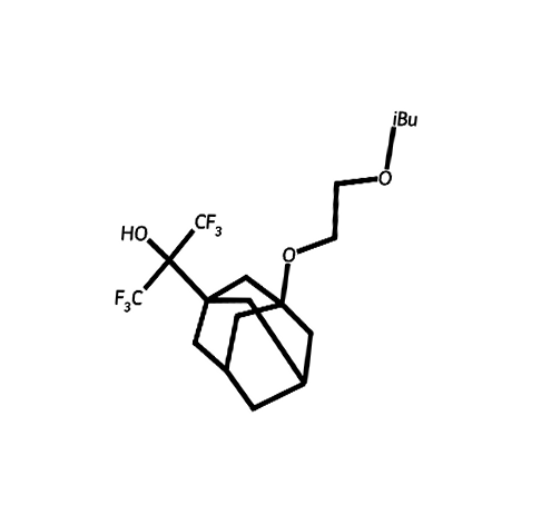 CCC(C)OCCOC12CC3CC(C1)CC(C(O)(C(F)(F)F)C(F)(F)F)(C3)C2